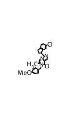 COc1ccc(Cn2c(C)cn3c(C4CCc5ccc(Cl)cc54)ncc3c2=O)cc1